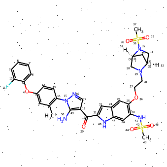 Cc1cc(Oc2ccccc2F)ccc1-n1ncc(C(=O)c2cc3cc(OCCN4C[C@@H]5C[C@H]4CN5S(C)(=O)=O)c(NS(C)(=O)=O)cc3[nH]2)c1N